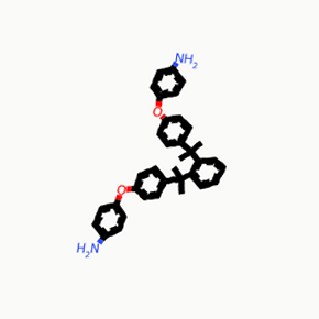 CC(C)(c1ccc(Oc2ccc(N)cc2)cc1)c1ccccc1C(C)(C)c1ccc(Oc2ccc(N)cc2)cc1